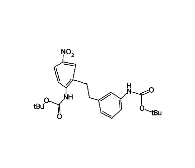 CC(C)(C)OC(=O)Nc1cccc(CCc2cc([N+](=O)[O-])ccc2NC(=O)OC(C)(C)C)c1